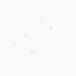 CCN1CC(C)(C)C(C(=O)O)CC1(C)C